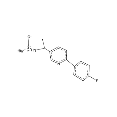 CC(N[S@@+]([O-])C(C)(C)C)c1ccc(-c2ccc(F)cc2)nc1